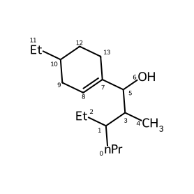 CCCC(CC)C(C)C(O)C1=CCC(CC)CC1